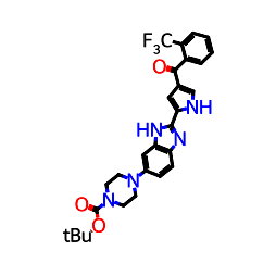 CC(C)(C)OC(=O)N1CCN(c2ccc3nc(-c4cc(C(=O)c5ccccc5C(F)(F)F)c[nH]4)[nH]c3c2)CC1